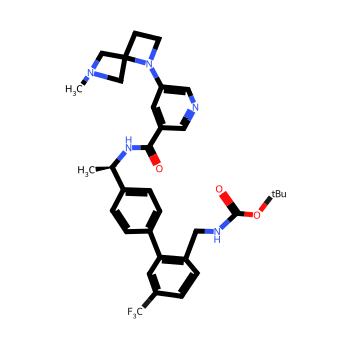 C[C@@H](NC(=O)c1cncc(N2CCC23CN(C)C3)c1)c1ccc(-c2cc(C(F)(F)F)ccc2CNC(=O)OC(C)(C)C)cc1